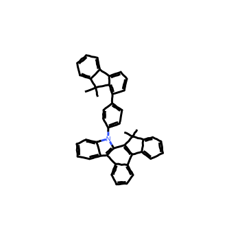 CC1(C)c2ccccc2-c2cccc(-c3ccc(-n4c5ccccc5c5c6ccccc6c6c(c54)C(C)(C)c4ccccc4-6)cc3)c21